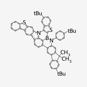 CC(C)(C)c1ccc(N2B3c4sc5ccc(C(C)(C)C)cc5c4-n4c5cc6sc7ccccc7c6cc5c5ccc(c3c54)-c3cc4c(cc32)C(C)(C)c2cc(C(C)(C)C)ccc2-4)cc1